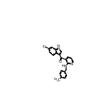 Cc1ccc(CNc2ncccc2C(=O)c2c[nH]c3cc(Cl)ccc23)cc1